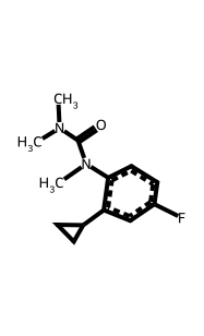 CN(C)C(=O)N(C)c1ccc(F)cc1C1CC1